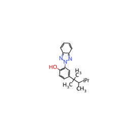 CC(C)C(C)C(C)(C)c1ccc(O)c(-n2nc3ccccc3n2)c1